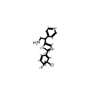 NCC(c1ccncc1)c1cnc(-c2ccc(F)c(Cl)c2)s1